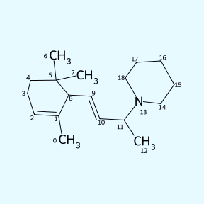 CC1=CCCC(C)(C)C1/C=C/C(C)N1CCCCC1